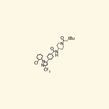 CC(C)(C)CC(=O)N1CCC(NC(=O)c2ccc(-c3cc(C(F)(F)F)nn3-c3ccccc3Cl)cc2)CC1